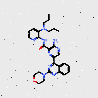 CCCN(CCC)c1cccnc1NC(=O)c1nc(-c2nc(N3CCOCC3)nc3ccccc23)cnc1N